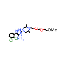 COCCOCCOCCN1C(C)CN(c2nnc(-c3cccc(Cl)c3Cl)c(N)n2)CC1C